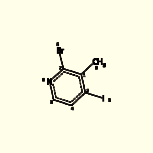 Cc1c(I)ccnc1Br